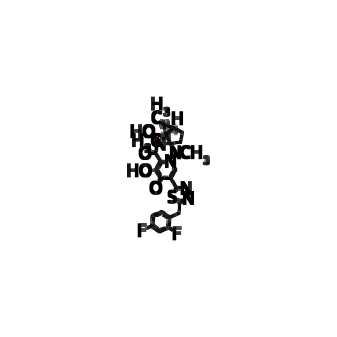 C[C@H]1[C@H]2CCC3(N(C)C(=O)c4c(O)c(=O)c(-c5nnc(Cc6ccc(F)cc6F)s5)cn4N3C)[C@]21CO